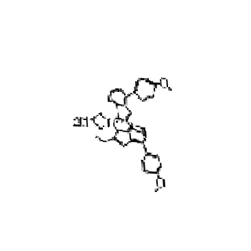 CCC1=Cc2c(-c3ccc(OC)cc3)cccc2[CH]1[Ti+2]1([CH]2C(CC)=Cc3c(-c4ccc(OC)cc4)cccc32)[CH2]C[CH2]1.[Cl-].[Cl-]